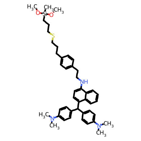 CO[Si](C)(CCCSCCCc1ccc(CCNc2ccc(C(c3ccc(N(C)C)cc3)c3ccc(N(C)C)cc3)c3ccccc23)cc1)OC